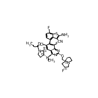 C=CC(=O)N1CC[C@@H](N(C)c2nc(OC[C@@]34CCCN3C[C@H](F)C4)nc3c(F)c(-c4ccc(F)c5sc(N)c(C#N)c45)c(Cl)cc23)[C@H]1CC